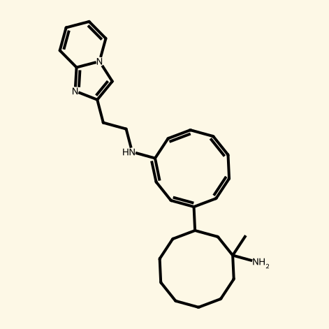 CC1(N)CCCCCCCC(c2ccccccc(NCCc3cn4ccccc4n3)cc2)C1